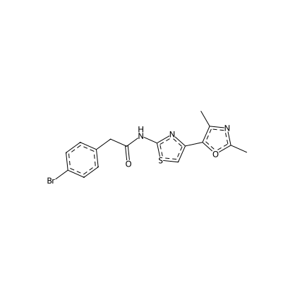 Cc1nc(C)c(-c2csc(NC(=O)Cc3ccc(Br)cc3)n2)o1